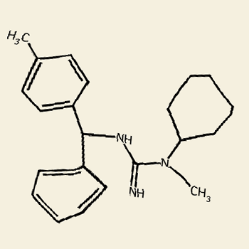 Cc1ccc(C(NC(=N)N(C)C2CCCCC2)c2ccccc2)cc1